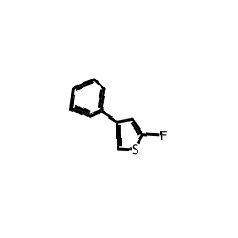 Fc1cc(-c2ccccc2)cs1